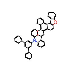 c1ccc(-c2cc(-c3ccccc3)cc(N(c3ccccc3)c3ccccc3-c3ccc4c5ccccc5c5c(ccc6oc7ccccc7c65)c4c3)c2)cc1